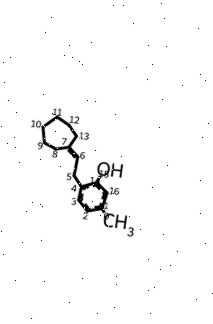 Cc1ccc(CC=C2CCCCCC2)c(O)c1